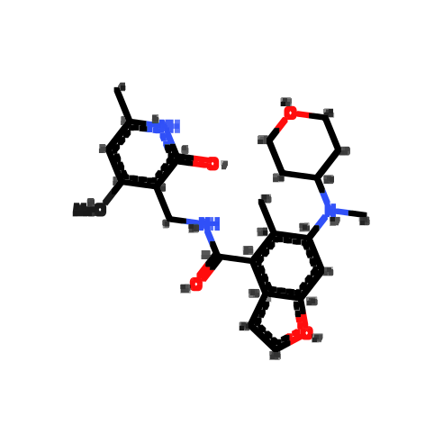 COc1cc(C)[nH]c(=O)c1CNC(=O)c1c(C)c(N(C)C2CCOCC2)cc2occc12